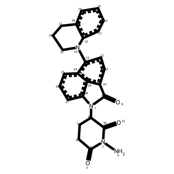 NN1C(=O)CCC(N2C(=O)c3ccc(N4CCCc5ccccc54)c4cccc2c34)C1=O